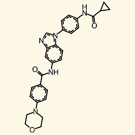 O=C(Nc1ccc2c(c1)ncn2-c1ccc(NC(=O)C2CC2)cc1)c1ccc(N2CCOCC2)cc1